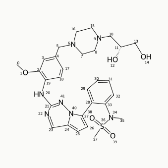 COc1cc(CN2CCN(C[C@@H](O)CO)CC2)ccc1Nc1ncc2ccc(-c3ccccc3N(C)S(C)(=O)=O)n2n1